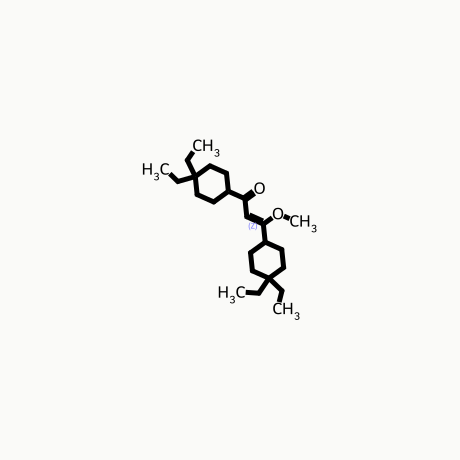 CCC1(CC)CCC(C(=O)/C=C(\OC)C2CCC(CC)(CC)CC2)CC1